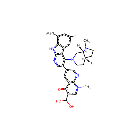 CNc1cc(F)cc2c1[nH]c1ncc(-c3cnc4c(c3)c(=O)c(C(O)O)cn4C)c(N3CC[C@H]4CCN(C)[C@H]4C3)c12